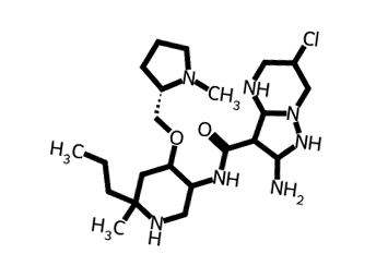 CCCC1(C)CC(OC[C@@H]2CCCN2C)C(NC(=O)C2C(N)NN3CC(Cl)CNC23)CN1